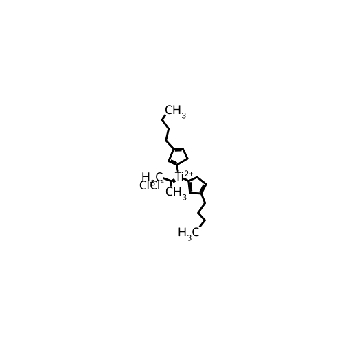 CCCCC1=CC[C]([Ti+2]([C]2=CC(CCCC)=CC2)=[C](C)C)=C1.[Cl-].[Cl-]